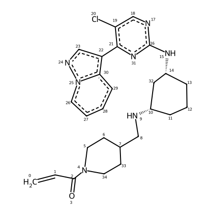 C=CC(=O)N1CCC(CN[C@H]2CCC[C@@H](Nc3ncc(Cl)c(-c4cnn5ccccc45)n3)C2)CC1